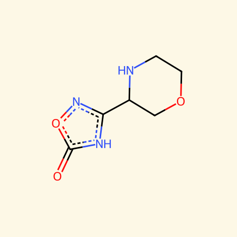 O=c1[nH]c(C2COCCN2)no1